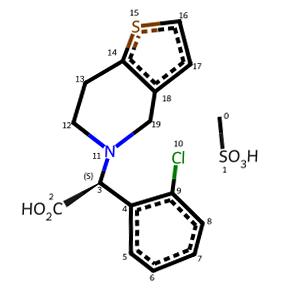 CS(=O)(=O)O.O=C(O)[C@H](c1ccccc1Cl)N1CCc2sccc2C1